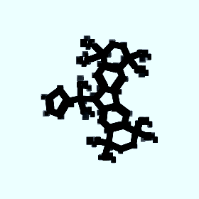 CC1(C)CCC(C)(C)c2cc3c(cc21)-c1cc2c(cc1C3C(C)(C)C1=CC=CC1)C(C)(C)CCC2(C)C